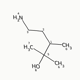 CC(CCN)C(C)(C)O